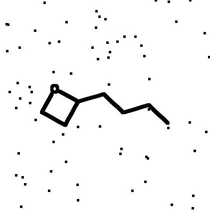 CCCCC1CCO1